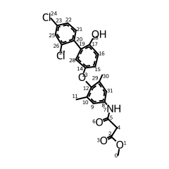 COC(=O)CC(=O)Nc1cc(C)c(Oc2ccc(O)c(-c3ccc(Cl)cc3Cl)c2)c(C)c1